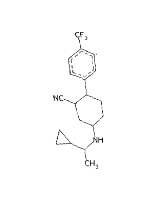 CC(NC1CCC(c2c[c]c(C(F)(F)F)cc2)C(C#N)C1)C1CC1